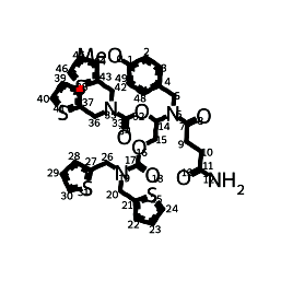 COc1ccc(CN(C(=O)CCC(N)=O)C(COC(=O)N(Cc2cccs2)Cc2cccs2)OC(=O)N(Cc2cccs2)Cc2cccs2)cc1